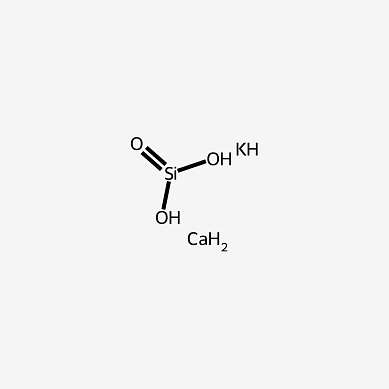 O=[Si](O)O.[CaH2].[KH]